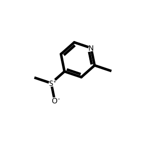 Cc1cc([S+](C)[O-])ccn1